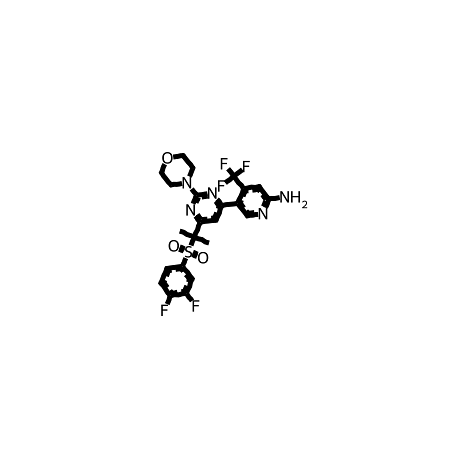 CC(C)(c1cc(-c2cnc(N)cc2C(F)(F)F)nc(N2CCOCC2)n1)S(=O)(=O)c1ccc(F)c(F)c1